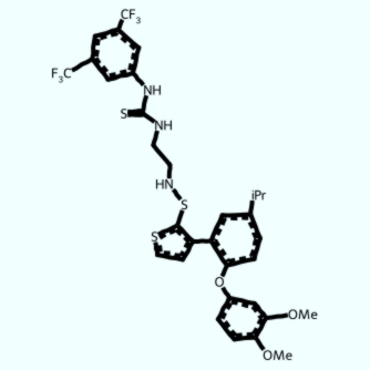 COc1ccc(Oc2ccc(C(C)C)cc2-c2ccsc2SNCCNC(=S)Nc2cc(C(F)(F)F)cc(C(F)(F)F)c2)cc1OC